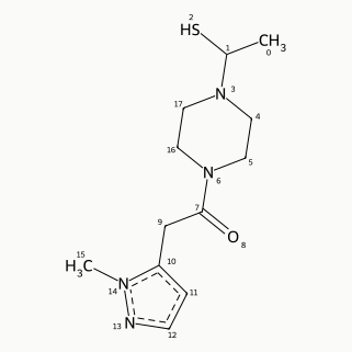 CC(S)N1CCN(C(=O)Cc2ccnn2C)CC1